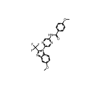 COc1ccc(C(=O)Nc2cnc(-n3c(C(F)(F)F)nc4cc(OC)ccc43)cn2)cc1